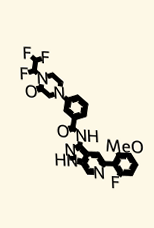 COc1cccc(F)c1-c1cc2c(NC(=O)c3cccc(N4CCN(C(F)C(F)F)C(=O)C4)c3)n[nH]c2cn1